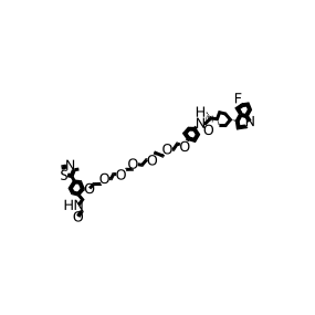 Cc1ncsc1-c1ccc(CNC=O)c(OCCOCCOCCOCCOCCOCCOc2ccc(NC(=O)[C@H](C)[C@H]3CC[C@@H](c4ccnc5ccc(F)cc54)CC3)cc2)c1